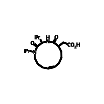 CC(C)C1NC(=O)C(CC(=O)O)CCCC=CCCCN(C(C)C)C1=O